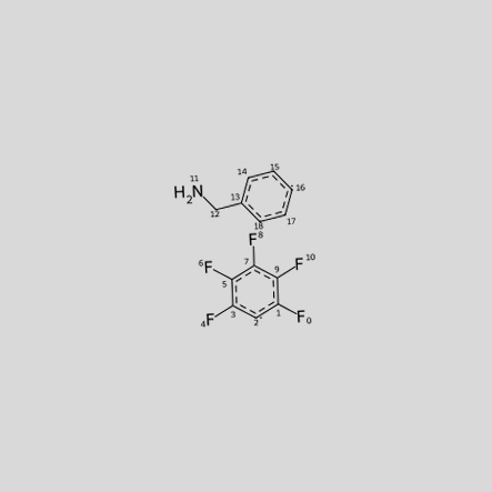 Fc1[c]c(F)c(F)c(F)c1F.NCc1cc[c]cc1